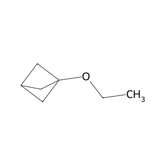 CCOC12CC(C1)C2